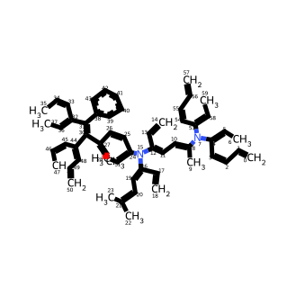 C=C/C=C\C(=C/C)N(/C(C)=C/C=C(\C=C)N(/C(C=C)=C/C=C(C)C)C(\C=C/C(=C\C)C(=C(C(/C=C\C)=C/C)\c1ccccc1)/C(/C=C\C)=C/C=C)=C\C)C(/C=C\C=C)=C/C